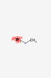 CCCCCCCC/C=C\CCCCCCCCO[C@H]1O[C@H](CO)[C@@H](O)[C@H](O)[C@H]1O